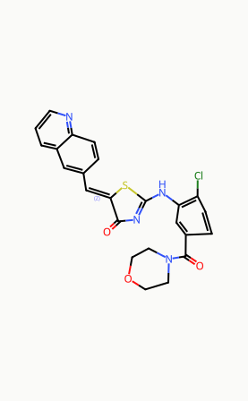 O=C1N=C(Nc2cc(C(=O)N3CCOCC3)ccc2Cl)S/C1=C\c1ccc2ncccc2c1